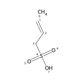 C.C=CCS(=O)(=O)O